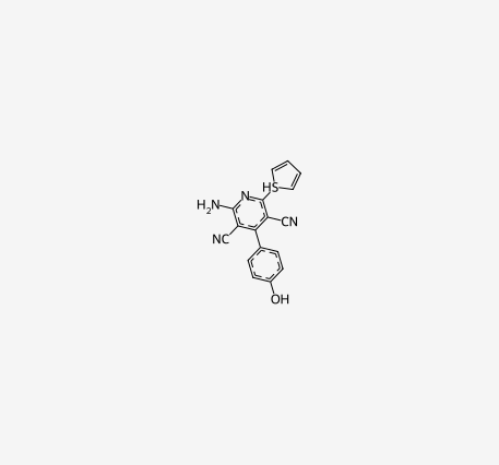 N#Cc1c(N)nc([SH]2C=CC=C2)c(C#N)c1-c1ccc(O)cc1